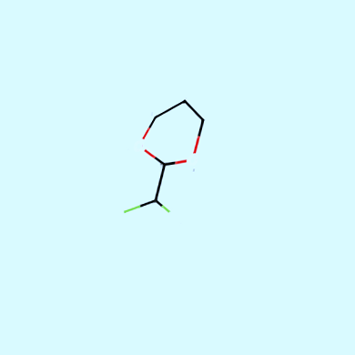 FC(F)C1OCCCO1